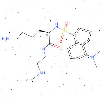 CNCCNC(=O)[C@@H](CCCCN)NS(=O)(=O)c1cccc2c(N(C)C)cccc12